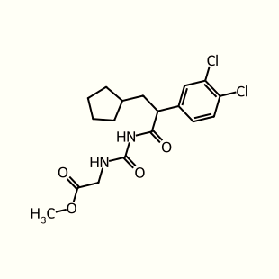 COC(=O)CNC(=O)NC(=O)C(CC1CCCC1)c1ccc(Cl)c(Cl)c1